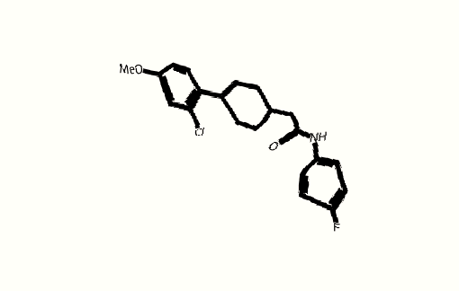 COc1ccc(C2CCC(CC(=O)Nc3ccc(F)cc3)CC2)c(Cl)c1